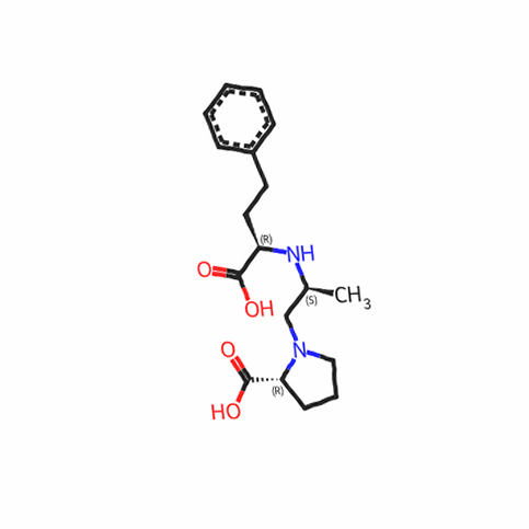 C[C@@H](CN1CCC[C@@H]1C(=O)O)N[C@H](CCc1ccccc1)C(=O)O